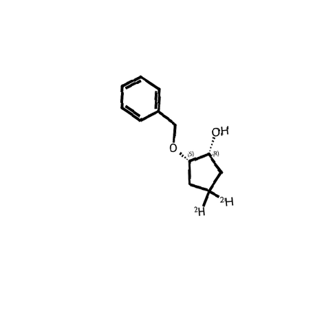 [2H]C1([2H])C[C@@H](O)[C@@H](OCc2ccccc2)C1